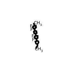 C/C=C/C1CC=C(c2ccc(-c3ccc(-c4ccc(CC)c(F)c4F)cc3)c(F)c2F)CC1